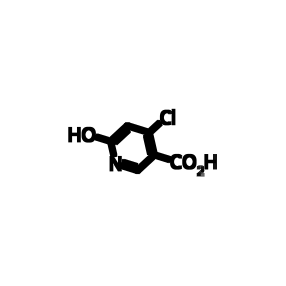 O=C(O)c1cnc(O)cc1Cl